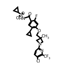 CC1(COc2cc(F)c(C(=O)NS(=O)(=O)C3CC3)cc2C2CC2)CN(c2ccc(Cl)c(C(F)(F)F)n2)C1